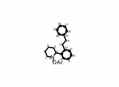 CC(=O)ON1CCCCC1c1ccccc1CCc1ccccc1